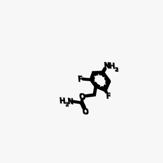 NC(=O)OCc1c(F)cc(N)cc1F